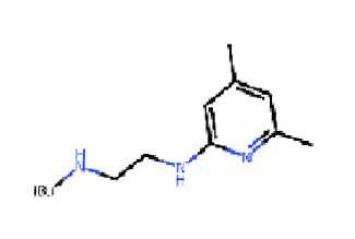 CCC(C)NCCNc1cc(C)cc(C)n1